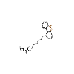 CCCCCCCc1cccc2sc3ccccc3c12